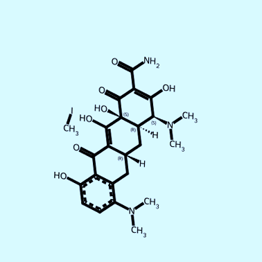 CI.CN(C)c1ccc(O)c2c1C[C@H]1C[C@@H]3[C@H](N(C)C)C(O)=C(C(N)=O)C(=O)[C@@]3(O)C(O)=C1C2=O